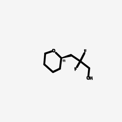 OCC(F)(F)C[C@H]1CCCCO1